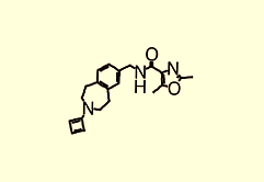 Cc1nc(C(=O)NCc2ccc3c(c2)CCN(C2=CC=C2)CC3)c(C)o1